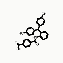 O=C(O)c1ccc(C(=O)Nc2ccccc2C(c2ccc(O)cc2)c2ccc(O)cc2)cc1